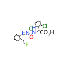 O=C(NCCc1ccccc1CCF)NCC(C(=O)O)c1c(Cl)cccc1Cl